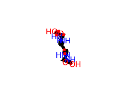 CC1(C(NC(=O)C(C)(C)C(C)(C)O)c2nc3ccc(C#Cc4ccc5nc([C@@H](NC(=O)C(C)(C)C(C)(C)O)C6(C)CC6)[nH]c5c4)cc3[nH]2)CC1